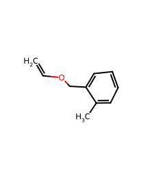 C=COCc1ccccc1C